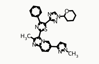 Cc1nc2ccc(-c3ccn(C)n3)cn2c1-c1nc(-c2ccccc2)c(-c2ncn(C3CCCCO3)n2)s1